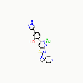 Cl.Cl.Oc1cc(-c2cn[nH]c2)ccc1-c1cc2sc(N3CCC34CCNCC4)nc2nn1